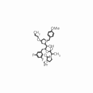 C=CCO[C@@H]1C[C@H]([C@H](O)[C@H](Cc2cc(F)cc(F)c2)OC(=O)C(C)N2CC[C@H](CC(C)C)C2=O)N(Cc2ccc(OC)cc2)C1